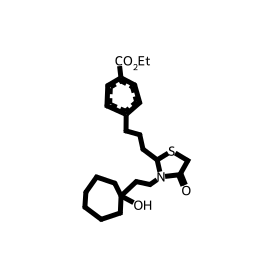 CCOC(=O)c1ccc(CCCC2SCC(=O)N2CCC2(O)CCCCCC2)cc1